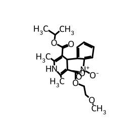 COCCOC(=O)C1=C(C)NC(C)=C(C(=O)OC(C)C)C1c1ccccc1[N+](=O)[O-]